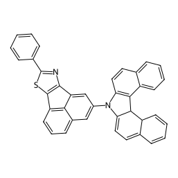 C1=CC2=CC=C3C(c4c(ccc5ccccc45)N3c3cc4c5c(cccc5c3)-c3sc(-c5ccccc5)nc3-4)C2C=C1